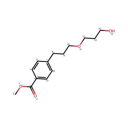 COC(=O)c1ccc(CCCOCCCO)cc1